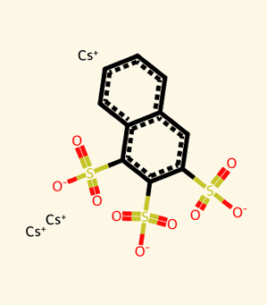 O=S(=O)([O-])c1cc2ccccc2c(S(=O)(=O)[O-])c1S(=O)(=O)[O-].[Cs+].[Cs+].[Cs+]